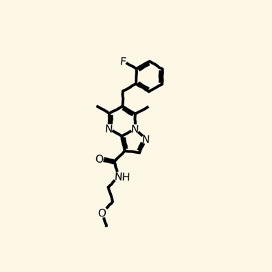 COCCNC(=O)c1cnn2c(C)c(Cc3ccccc3F)c(C)nc12